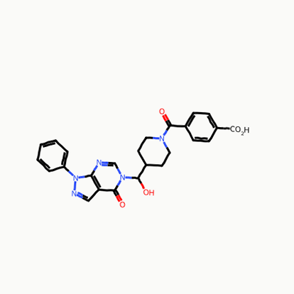 O=C(O)c1ccc(C(=O)N2CCC(C(O)n3cnc4c(cnn4-c4ccccc4)c3=O)CC2)cc1